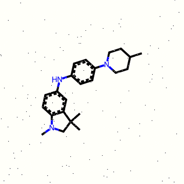 CC1CCN(c2ccc(Nc3ccc4c(c3)C(C)(C)CN4C)cc2)CC1